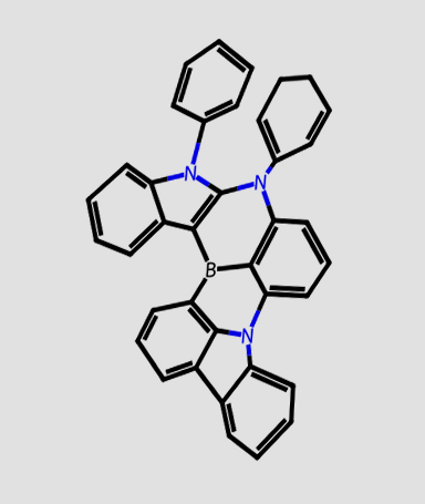 C1=CC(N2c3cccc4c3B(c3c2n(-c2ccccc2)c2ccccc32)c2cccc3c5ccccc5n-4c23)=CCC1